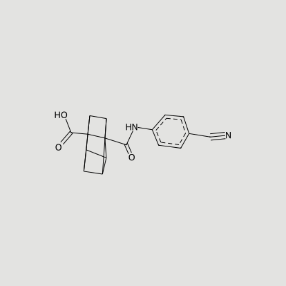 N#Cc1ccc(NC(=O)C23C4C5C6C4C2(C(=O)O)C6C53)cc1